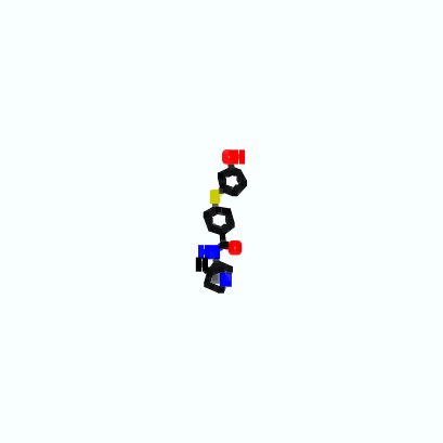 O=C(NC1CN2CC[C@H]1C2)c1ccc(Sc2cccc(O)c2)cc1